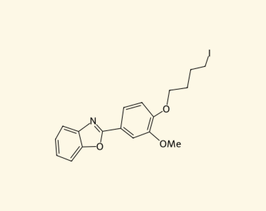 COc1cc(-c2nc3ccccc3o2)ccc1OCCCCI